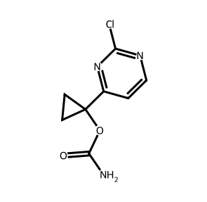 NC(=O)OC1(c2ccnc(Cl)n2)CC1